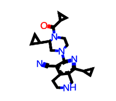 N#Cc1c(N2CCN(C(=O)C3CC3)C(C3CC3)C2)nc(C2CC2)c2c1CCNC2